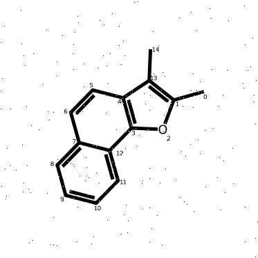 Cc1oc2c(ccc3ccccc32)c1C